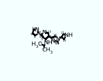 CC(C)Nc1cc(-n2cccn2)ncc1-c1cn(C2CNC2)nn1